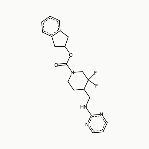 O=C(OC1Cc2ccccc2C1)N1CCC(CNc2ncccn2)C(F)(F)C1